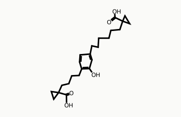 O=C(O)C1(CCCCCCc2ccc(CCCCC3(C(=O)O)CC3)c(O)c2)CC1